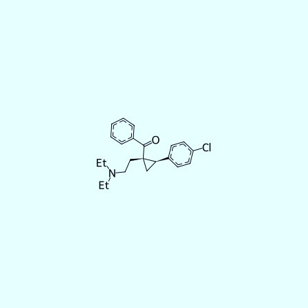 CCN(CC)CC[C@]1(C(=O)c2ccccc2)C[C@@H]1c1ccc(Cl)cc1